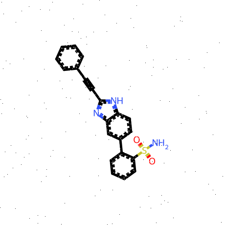 NS(=O)(=O)c1ccccc1-c1ccc2[nH]c(C#Cc3ccccc3)nc2c1